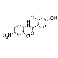 O=C(Nc1ccc([N+](=O)[O-])cc1Cl)c1ccc(O)cc1Cl